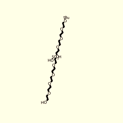 CC(C)(C)OCCOCCOCCOCCOCCOCCOCCOCCOCCO.O=S(=O)(O)O